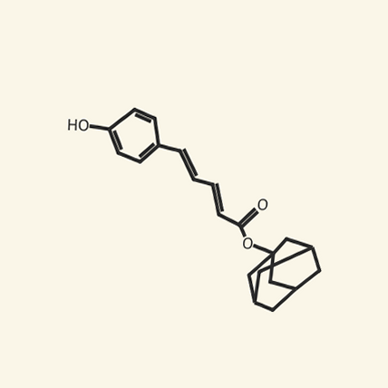 O=C(C=CC=Cc1ccc(O)cc1)OC12CC3CC(CC(C3)C1)C2